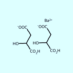 O=C([O-])CC(O)C(=O)O.O=C([O-])CC(O)C(=O)O.[Ba+2]